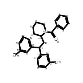 O=C(c1ccccc1)N1CCCCC1CC(c1cccc(Cl)c1)c1cccc(Cl)c1